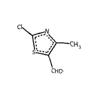 Cc1nc(Cl)sc1[C]=O